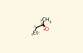 C[C]CC(C)=O